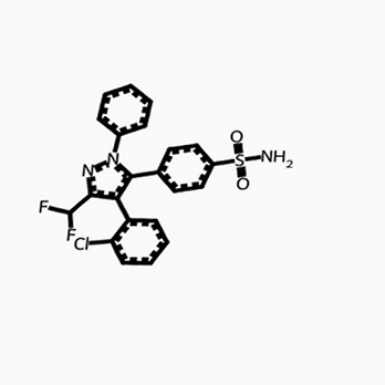 NS(=O)(=O)c1ccc(-c2c(-c3ccccc3Cl)c(C(F)F)nn2-c2ccccc2)cc1